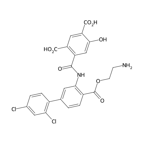 NCCOC(=O)c1ccc(-c2ccc(Cl)cc2Cl)cc1NC(=O)c1cc(O)c(C(=O)O)cc1C(=O)O